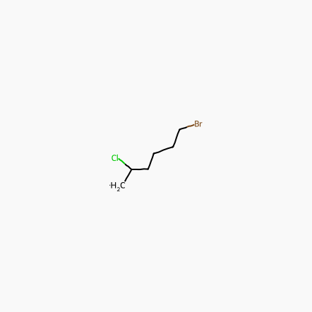 [CH2]C(Cl)CCCCBr